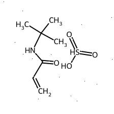 C=CC(=O)NC(C)(C)C.O=[SH](=O)O